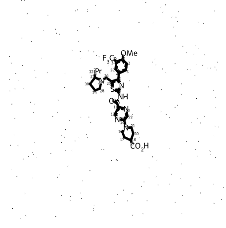 COc1ccc(-c2nc(NC(=O)c3cnc(N4CCC(C(=O)O)CC4)cn3)sc2CN2CCCC2C(C)C)cc1C(F)(F)F